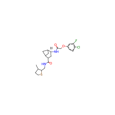 CC1CCSC1CNC(=O)C1C[C@H](NC(=O)COc2ccc(Cl)c(F)c2)C2CC1C2